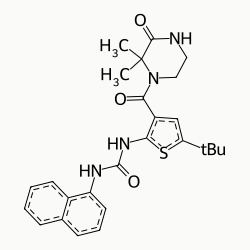 CC(C)(C)c1cc(C(=O)N2CCNC(=O)C2(C)C)c(NC(=O)Nc2cccc3ccccc23)s1